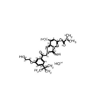 Cc1cc(OC(=O)N(C)C)nn2c(=N)n(CC(=O)c3cc(OCCO)cc(C(C)(C)C)c3)nc12.Cl